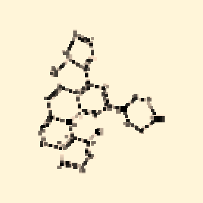 O=c1ccc2c(-c3ccccc3Cl)cc(N3CCNCC3)cc2n1-c1c(Cl)cccc1Cl